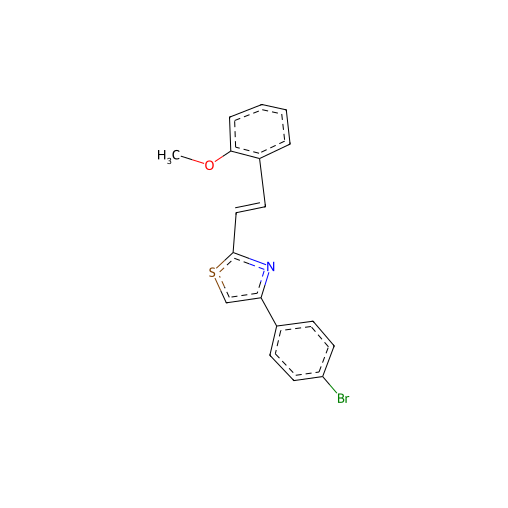 COc1ccccc1C=Cc1nc(-c2ccc(Br)cc2)cs1